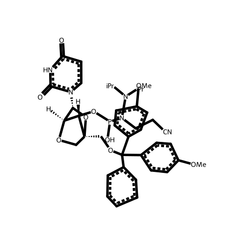 COc1ccc(C(OC[C@@]23CO[C@@H]([C@H](n4ccc(=O)[nH]c4=O)O2)[C@@H]3OP(O)N(CCC#N)N(C(C)C)C(C)C)(c2ccccc2)c2ccc(OC)cc2)cc1